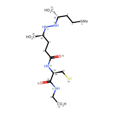 CSCC[C@H](NN[C@@H](CCC(=O)N[C@@H](CS)C(=O)NCC(=O)O)C(=O)O)C(=O)O